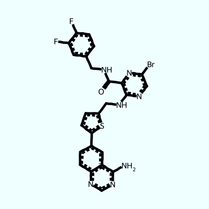 Nc1ncnc2ccc(-c3ccc(CNc4ncc(Br)nc4C(=O)NCc4ccc(F)c(F)c4)s3)cc12